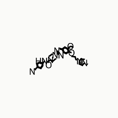 COc1cc2cnc(N3CCN(C(=O)Nc4ccc(C#N)cc4)CC3)nc2cc1OCCCN1CCN(C)CC1